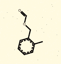 Cc1ccccc1CO[C]=O